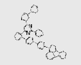 c1ccc(-c2cccc(-c3cc(-c4ccccc4-c4ccc(-c5ccc(-c6ccc7c8c(cccc68)-c6ccccc6-7)cc5)cc4)nc(-c4ccccc4)n3)c2)cc1